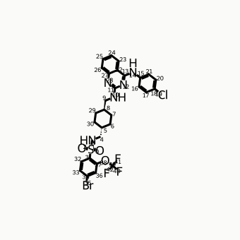 O=S(=O)(NC[C@H]1CC[C@H](CNc2nc(Nc3ccc(Cl)cc3)c3ccccc3n2)CC1)c1ccc(Br)cc1OC(F)(F)F